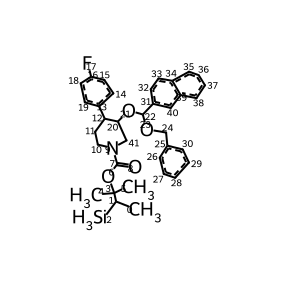 CC([SiH3])C(C)(C)OC(=O)N1CCC(c2ccc(F)cc2)C(OC(OCc2ccccc2)c2ccc3ccccc3c2)C1